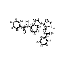 C[C@H]1CO[C@@H](n2cnc3c(NC(=O)c4ccccc4)ncnc32)[C@@H]1OC(=O)c1ccccc1